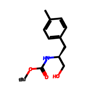 Cc1ccc(C[C@@H](CO)NC(=O)OC(C)(C)C)cc1